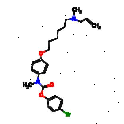 C=CCN(C)CCCCCCOc1ccc(N(C)C(=O)Oc2ccc(Br)cc2)cc1